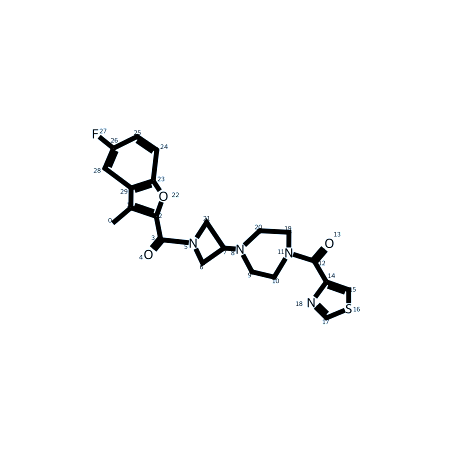 Cc1c(C(=O)N2CC(N3CCN(C(=O)c4cscn4)CC3)C2)oc2ccc(F)cc12